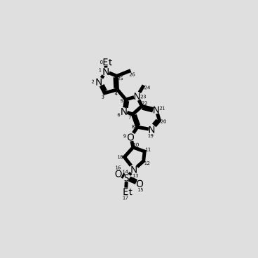 CCn1ncc(-c2nc3c(OC4CCN(S(=O)(=O)CC)C4)ncnc3n2C)c1C